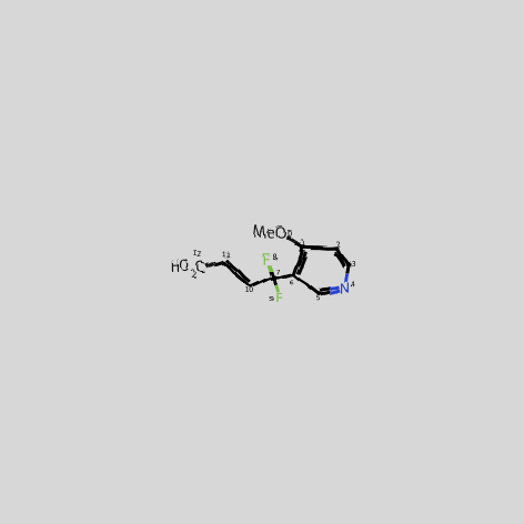 COc1ccncc1C(F)(F)/C=C/C(=O)O